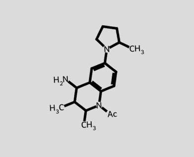 CC(=O)N1c2ccc(N3CCCC3C)cc2C(N)C(C)C1C